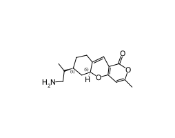 Cc1cc2c(c(=O)o1)C=C1CC[C@H](C(C)CN)C[C@@H]1O2